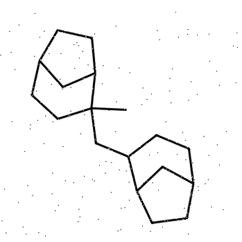 CC1(CC2CCC3CCC2C3)CCC2CCC1C2